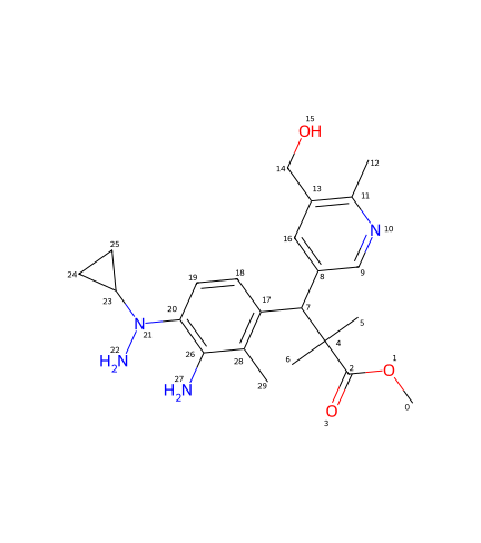 COC(=O)C(C)(C)C(c1cnc(C)c(CO)c1)c1ccc(N(N)C2CC2)c(N)c1C